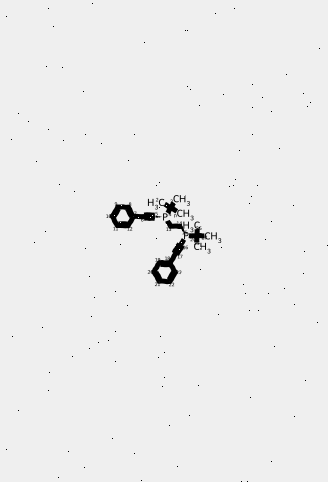 CC(C)(C)[P@@](C#Cc1ccccc1)CC[P@](C#Cc1ccccc1)C(C)(C)C